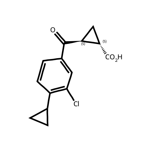 O=C(O)[C@H]1C[C@@H]1C(=O)c1ccc(C2CC2)c(Cl)c1